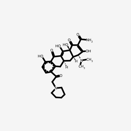 CN(C)[C@H]1C(O)=C(C(N)=O)C(=O)[C@@]2(O)C(O)=C3C(=O)c4c(O)ccc(C(=O)CN5CCCCC5)c4C[C@@H]3C[C@H]12